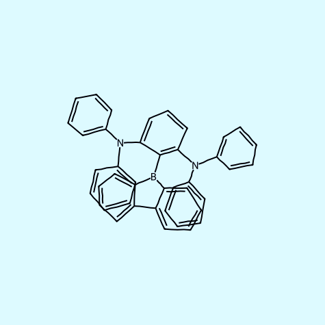 c1ccc(N(c2ccccc2)c2cccc(N(c3ccccc3)c3ccccc3)c2B2c3ccccc3-c3ccccc32)cc1